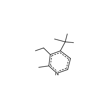 CCc1c(C(C)(C)C)ccnc1C